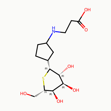 O=C(O)CCNC1CCC([C@H]2S[C@@H](CO)[C@H](O)[C@H](O)[C@H]2O)C1